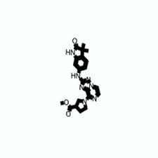 COC(=O)C1CCN(c2nccn3nc(Nc4ccc5c(c4)NC(=O)C5(C)C)nc23)C1